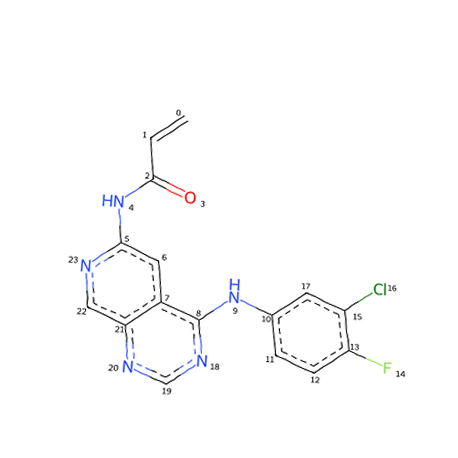 C=CC(=O)Nc1cc2c(Nc3ccc(F)c(Cl)c3)ncnc2cn1